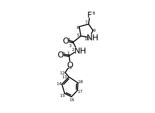 O=C(NC(=O)C1CC(F)CN1)OCc1ccccc1